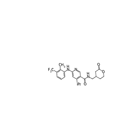 Cc1c(Nc2cc(C(C)C)c(C(=O)NCC3CCOC(=O)C3)cn2)cccc1C(F)(F)F